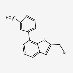 O=C(O)c1cccc(-c2cccc3cc(CBr)sc23)c1